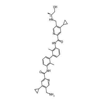 Cc1c(NC(=O)c2cc(C3CC3)c(CN)cn2)cccc1-c1cccc(NC(=O)c2cc(C3CC3)c(CN[C@@H](C)CO)cn2)c1C